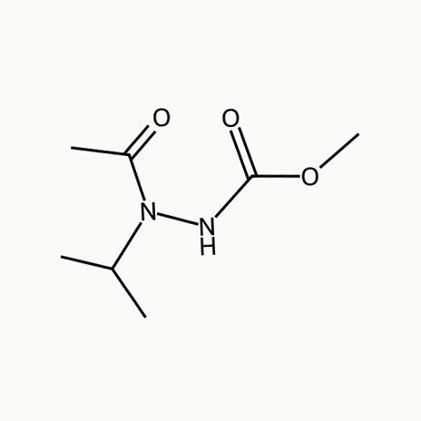 COC(=O)NN(C(C)=O)C(C)C